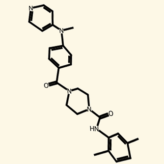 Cc1ccc(C)c(NC(=O)N2CCN(C(=O)c3ccc(N(C)c4ccncc4)cc3)CC2)c1